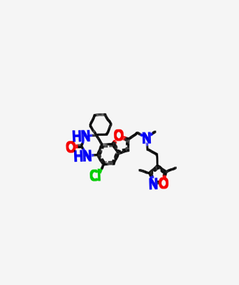 Cc1noc(C)c1CCN(C)Cc1cc2cc(Cl)c3c(c2o1)C1(CCCCC1)NC(=O)N3